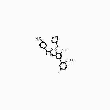 CCCCc1cc(-c2cc(F)ccc2C(=O)O)cc(NC(=O)Nc2ccc(C)cc2)c1OCc1ccccc1